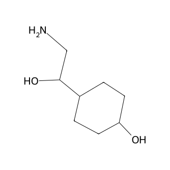 NCC(O)C1CCC(O)CC1